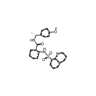 COc1ccc([C@@H](C)NC(=O)c2ccccc2NS(=O)(=O)c2cccc3cccnc23)cc1